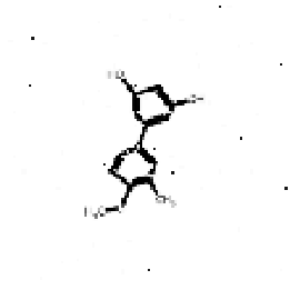 COc1ccc(-c2cc(O)cc(O)c2)cc1C